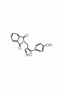 O=C1c2ccccc2C(=O)N1Cc1cnoc1-c1ccc(O)cc1